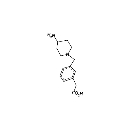 NC1CCN(Cc2cccc(CC(=O)O)c2)CC1